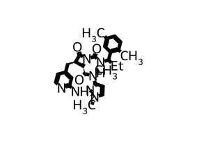 CCC(NC(=O)N1C(=O)[C@H](Cc2ccnc(N)c2)[C@H]1C(=O)N(C)c1ccn(C)n1)c1cc(C)ccc1C